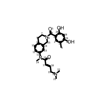 Cc1cc(C(=O)N2CCc3ccc(N(C)C(=O)/C=C/CN(C)C)cc3C2)c(O)cc1O